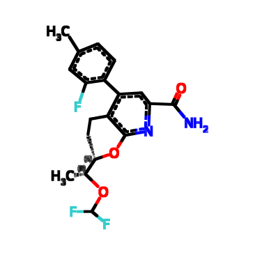 Cc1ccc(-c2cc(C(N)=O)nc3c2CC[C@@H]([C@@H](C)OC(F)F)O3)c(F)c1